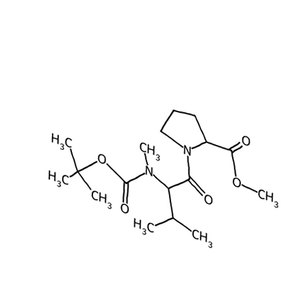 COC(=O)C1CCCN1C(=O)C(C(C)C)N(C)C(=O)OC(C)(C)C